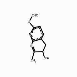 CCCCC1Cc2ccc(OC=O)nc2N=C1C